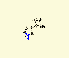 CCCCC(c1cc[nH]c1)S(=O)(=O)O